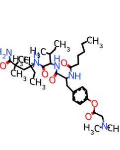 CCCCCC(=O)NC(Cc1ccc(OC(=O)CN(C)C)cc1)C(=O)NC(C(=O)NC(C)(CC)CC(C)(C)C(N)=O)C(C)CC